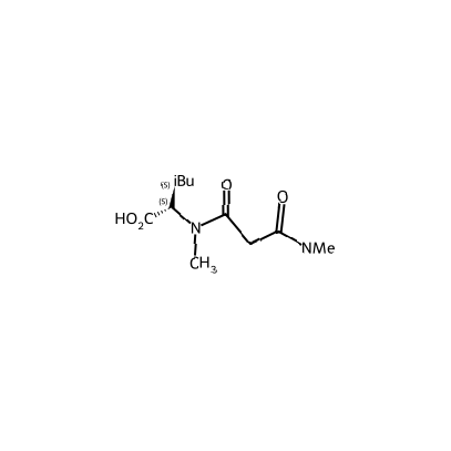 CC[C@H](C)[C@@H](C(=O)O)N(C)C(=O)CC(=O)NC